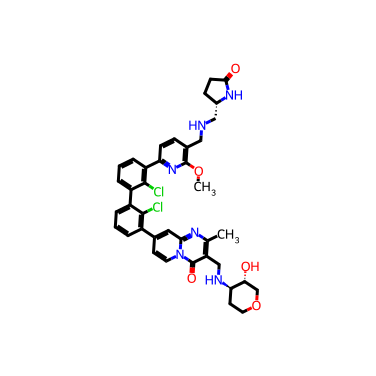 COc1nc(-c2cccc(-c3cccc(-c4ccn5c(=O)c(CN[C@@H]6CCOC[C@H]6O)c(C)nc5c4)c3Cl)c2Cl)ccc1CNC[C@@H]1CCC(=O)N1